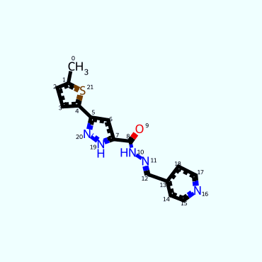 Cc1ccc(-c2cc(C(=O)NN=Cc3ccncc3)[nH]n2)s1